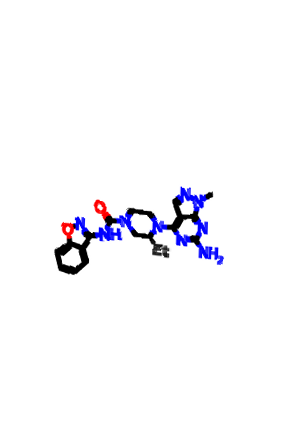 CC[C@H]1CN(C(=O)Nc2noc3ccccc23)CCN1c1nc(N)nc2c1cnn2C